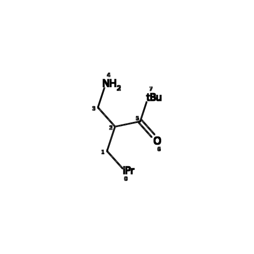 CC(C)CC(CN)C(=O)C(C)(C)C